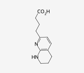 O=C(O)CCCc1ccc2c(n1)NCCC2